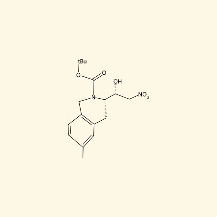 Cc1ccc2c(c1)C[C@@H]([C@H](O)C[N+](=O)[O-])N(C(=O)OC(C)(C)C)C2